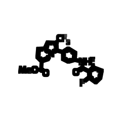 COC(=O)c1ccc2cc(C(F)(F)F)c(-c3ccc(NC(=O)c4c(F)cccc4F)cc3)n2c1